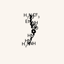 CC/C(=C\CC(N)OC(F)(F)F)c1cc2cn(-c3ccc(CNCCCNC(=N)N)cc3)c(=O)nc2[nH]1